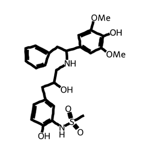 COc1cc(C(Cc2ccccc2)NCC(O)Cc2ccc(O)c(NS(C)(=O)=O)c2)cc(OC)c1O